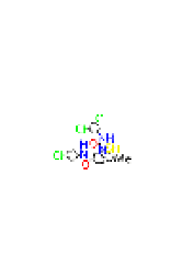 COc1ccc(C(=O)Nc2ccc(Cl)cc2)cc1N(S)C(=O)Nc1cc(Cl)cc(Cl)c1